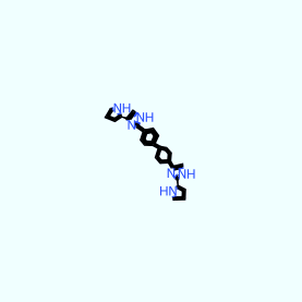 c1cc(C2CCC(c3c[nH]c([C@H]4CCCN4)n3)CC2)ccc1-c1nc([C@H]2CCCN2)c[nH]1